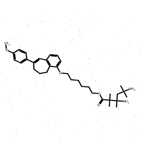 CC(C)(N)CC(C)(N)C(C)(C)C(=O)OCCCCCCOc1cccc2c1CCCC(c1ccc(OC(F)(F)F)cc1)=C2